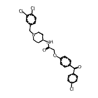 O=C(COc1ccc(C(=O)c2ccc(Cl)cc2)cc1)NC1CCN(Cc2ccc(Cl)c(Cl)c2)CC1